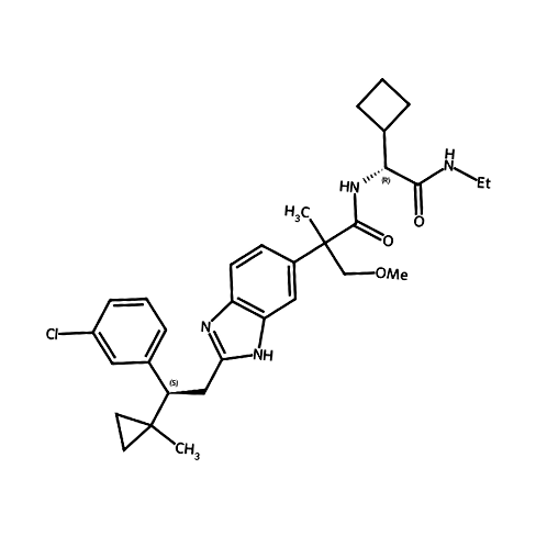 CCNC(=O)[C@H](NC(=O)C(C)(COC)c1ccc2nc(C[C@H](c3cccc(Cl)c3)C3(C)CC3)[nH]c2c1)C1CCC1